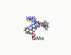 COCOc1cc(-c2ncc3c(N4CCNC(=O)C4)nc(OCC45CCCN4CCC5)nc3c2F)c2ccccc2c1